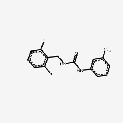 O=C(NCc1c(F)cccc1F)Nc1cccc(C(F)(F)F)c1